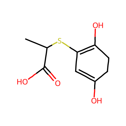 CC(SC1=C(O)CCC(O)=C1)C(=O)O